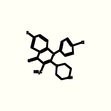 O=C(O)c1c(N2CCNCC2)n(-c2ccc(Cl)cc2)c2ccc(F)cc2c1=O